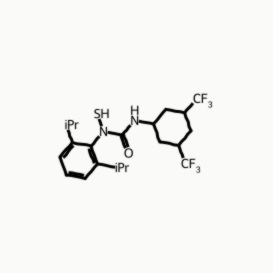 CC(C)c1cccc(C(C)C)c1N(S)C(=O)NC1CC(C(F)(F)F)CC(C(F)(F)F)C1